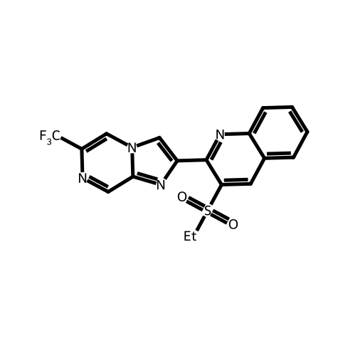 CCS(=O)(=O)c1cc2ccccc2nc1-c1cn2cc(C(F)(F)F)ncc2n1